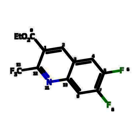 CCOC(=O)c1cc2cc(F)c(F)cc2nc1C(F)(F)F